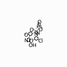 COc1cc2c(cc1-c1cncc(CO)c1)-c1c(c(C3OCCN(C=O)C3(C)C)nn1-c1cc(Cl)cc(Cl)c1)CO2